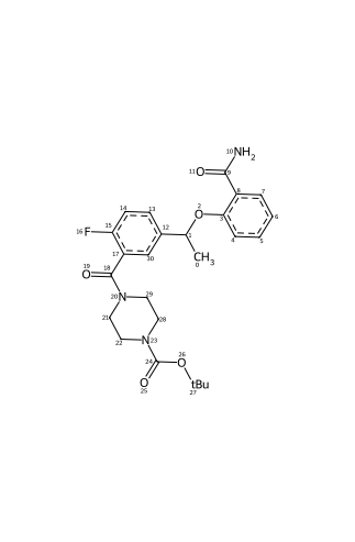 CC(Oc1ccccc1C(N)=O)c1ccc(F)c(C(=O)N2CCN(C(=O)OC(C)(C)C)CC2)c1